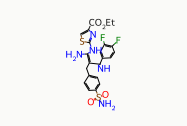 CCOC(=O)c1csc(N/C(N)=C(/Cc2ccc(S(N)(=O)=O)cc2)C(=N)c2ccc(F)c(F)c2)n1